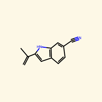 C=C(C)c1cc2ccc(C#N)cc2[nH]1